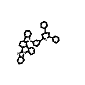 c1ccc(-c2cc(-c3ccccc3)nc(-c3cccc(-n4c5ccccc5c5ccc6c(c7ccccc7n7c8ccccc8nc67)c54)c3)c2)cc1